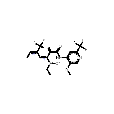 C=C(C(=O)Nc1cc(C(F)(F)F)ncc1NC)/C(=C\C(=C/C)C(F)(F)F)[S+]([O-])CC